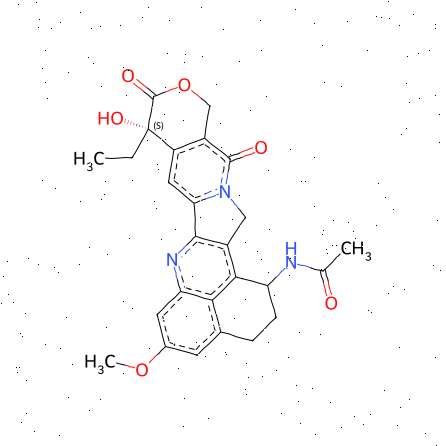 CC[C@@]1(O)C(=O)OCc2c1cc1n(c2=O)Cc2c-1nc1cc(OC)cc3c1c2C(NC(C)=O)CC3